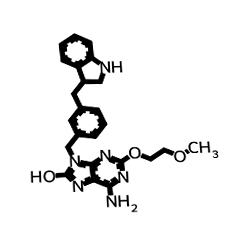 COCCOc1nc(N)c2nc(O)n(Cc3cccc(CC4CNc5ccccc54)c3)c2n1